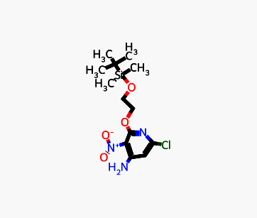 CC(C)(C)[Si](C)(C)OCCOc1nc(Cl)cc(N)c1[N+](=O)[O-]